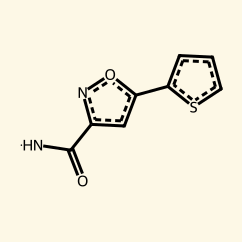 [NH]C(=O)c1cc(-c2cccs2)on1